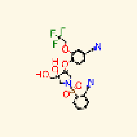 N#Cc1ccc(O[C@H]2CN(S(=O)(=O)c3ccccc3C#N)C[C@@]2(O)CO)c(OCC(F)(F)F)c1